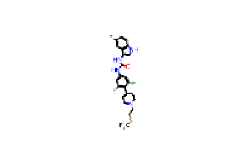 O=C(Nc1cc(F)c(C2=CCN(CCSC(F)(F)F)CC2)c(F)c1)Nc1c[nH]c2ccc(F)cc12